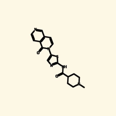 CN1CCC(C(=O)Nc2ncc(-n3ccc4cnccc4c3=O)s2)CC1